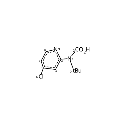 CC(C)(C)N(C(=O)O)c1cc(Cl)ccn1